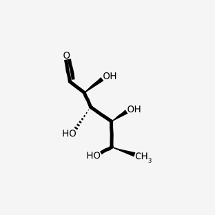 C[C@@H](O)[C@H](O)[C@H](O)[C@H](O)C=O